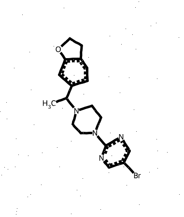 CC(c1ccc2c(c1)OCC2)N1CCN(c2ncc(Br)cn2)CC1